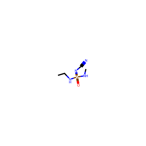 CCNS(=O)(=NC#N)NC